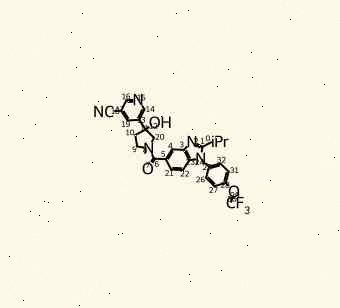 CC(C)c1nc2cc(C(=O)N3CCC(O)(c4cncc(C#N)c4)C3)ccc2n1-c1ccc(OC(F)(F)F)cc1